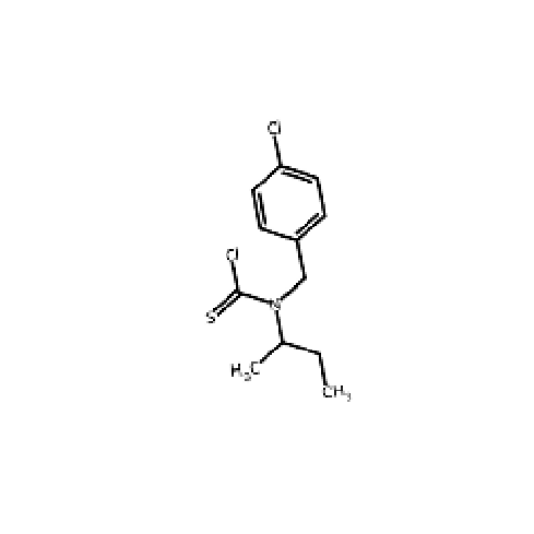 CCC(C)N(Cc1ccc(Cl)cc1)C(=S)Cl